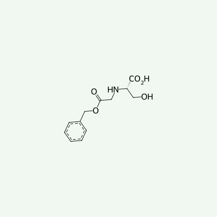 O=C(CN[C@@H](CO)C(=O)O)OCc1ccccc1